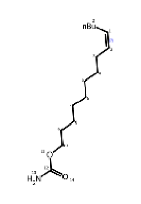 CCCC/C=C\CCCCCCCCOC(N)=O